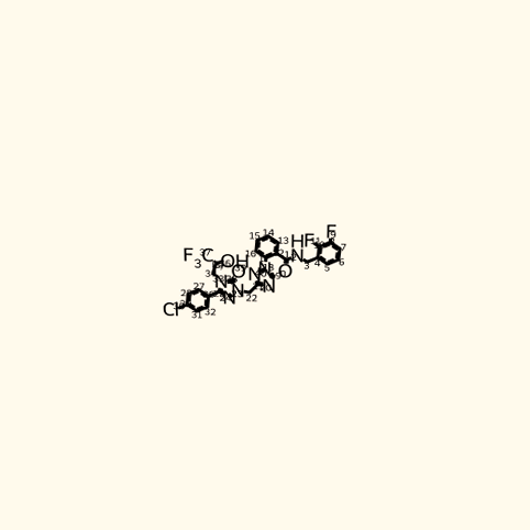 O=C(NCc1cccc(F)c1F)c1ccccc1-n1cnc(Cn2nc(-c3ccc(Cl)cc3)n(C[C@H](O)C(F)(F)F)c2=O)n1